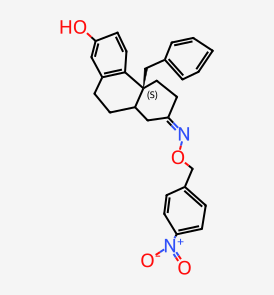 O=[N+]([O-])c1ccc(CON=C2CC[C@@]3(Cc4ccccc4)c4ccc(O)cc4CCC3C2)cc1